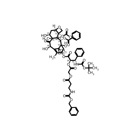 CC(=O)O[C@@]12CO[C@@H]1C[C@H](O)[C@@]1(C)C(=O)[C@H](O)C3=C(C)[C@@H](OC(=O)[C@H](OC(=O)COC(=O)CCNC(=O)OCc4ccccc4)[C@@H](NC(=O)OC(C)(C)C)c4ccccc4)C[C@@](O)([C@@H](OC(=O)c4ccccc4)[C@H]21)C3(C)C